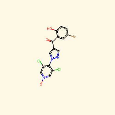 O=C(c1cnn(-c2c(Cl)c[n+]([O-])cc2Cl)c1)c1cc(Br)ccc1O